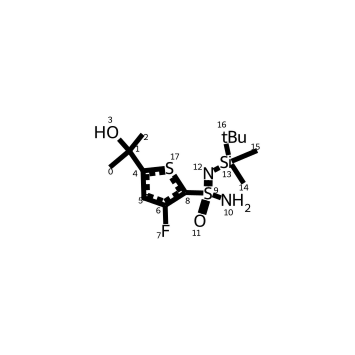 CC(C)(O)c1cc(F)c(S(N)(=O)=N[Si](C)(C)C(C)(C)C)s1